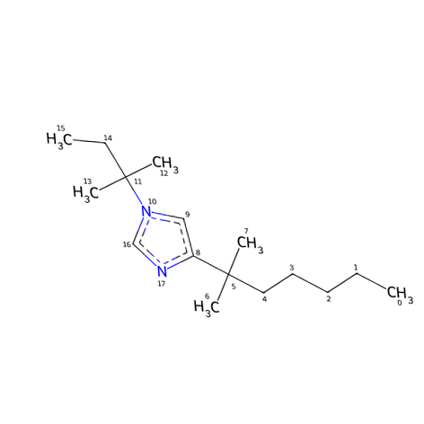 CCCCCC(C)(C)c1cn(C(C)(C)CC)cn1